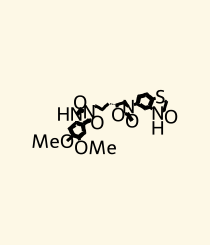 COc1cc2[nH]c(=O)n(CCC[C@@H]3CN(c4ccc5c(c4)NC(=O)CS5)C(=O)O3)c(=O)c2cc1OC